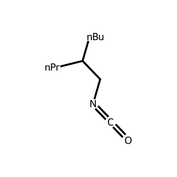 CCCCC(CCC)CN=C=O